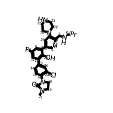 CC(C)NCc1ncc(-c2cc(F)cc(-c3ccc(N4CCN(C)C4=O)c(Cl)c3)c2O)cc1N1CCNCC1